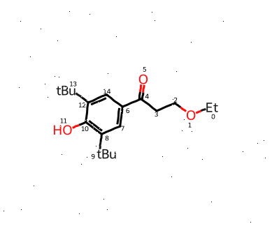 [CH2]COCCC(=O)c1cc(C(C)(C)C)c(O)c(C(C)(C)C)c1